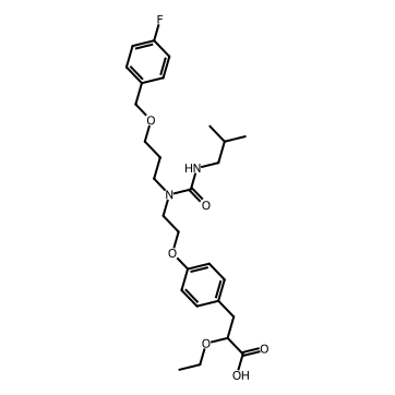 CCOC(Cc1ccc(OCCN(CCCOCc2ccc(F)cc2)C(=O)NCC(C)C)cc1)C(=O)O